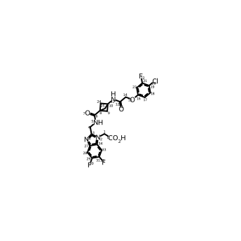 O=C(O)Cn1c(CNC(=O)C23CC(NC(=O)COc4ccc(Cl)c(F)c4)(C2)C3)nc2cc(F)c(F)cc21